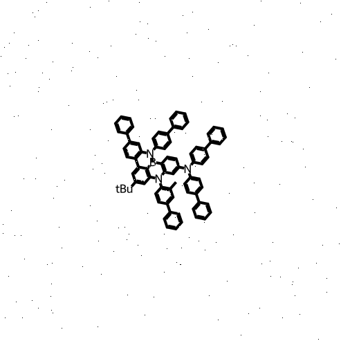 Cc1cc(-c2ccccc2)ccc1N1c2cc(N(c3ccc(-c4ccccc4)cc3)c3ccc(-c4ccccc4)cc3)ccc2B2c3c(cc(C(C)(C)C)cc31)-c1ccc(-c3ccccc3)cc1N2c1ccc(-c2ccccc2)cc1